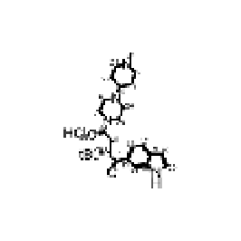 CN1CCC(N2CCN(C(=O)CN(C(=O)c3ccc4cc[nH]c4c3)C(C)(C)C)CC2)CC1.Cl